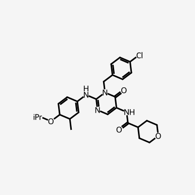 CC(C)OC1C=CC(Nc2ncc(NC(=O)C3CCOCC3)c(=O)n2Cc2ccc(Cl)cc2)=CC1C